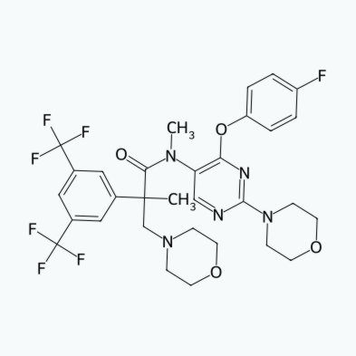 CN(C(=O)C(C)(CN1CCOCC1)c1cc(C(F)(F)F)cc(C(F)(F)F)c1)c1cnc(N2CCOCC2)nc1Oc1ccc(F)cc1